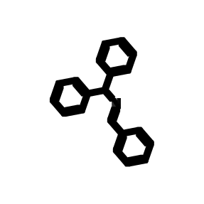 C(=NC(c1ccccc1)c1ccccc1)c1ccccc1